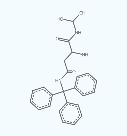 CC(O)NC(=O)C(N)CC(=O)NC(c1ccccc1)(c1ccccc1)c1ccccc1